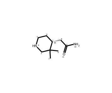 CC1(C)CNCC[C@@H]1CC(N)=O